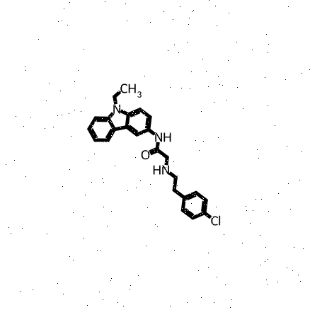 CCn1c2ccccc2c2cc(NC(=O)CNCCc3ccc(Cl)cc3)ccc21